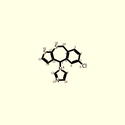 Clc1ccc2c(c1)C(n1ccnc1)c1ccsc1SC2